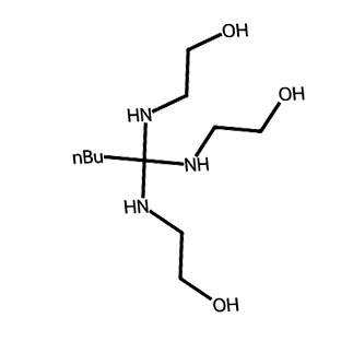 [CH2]CCCC(NCCO)(NCCO)NCCO